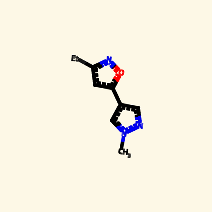 CCc1cc(-c2cnn(C)c2)on1